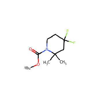 CC(C)(C)OC(=O)N1CCC(F)(F)CC1(C)C